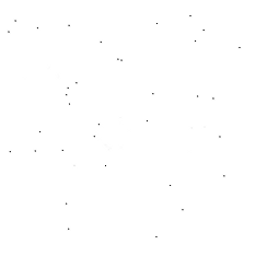 Cc1c(OCc2ccccc2)cc(C(=O)O)cc1OCc1ccccc1